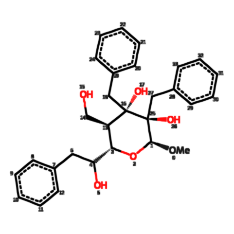 CO[C@H]1O[C@H](C(O)Cc2ccccc2)[C@@H](CO)[C@@](O)(Cc2ccccc2)[C@]1(O)Cc1ccccc1